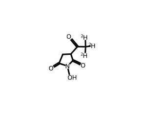 [2H]C([2H])([2H])C(=O)C1CC(=O)N(O)C1=O